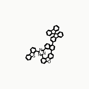 c1ccc(-c2nc(-c3cccc4c3sc3ccccc34)nc(-c3cccc4oc5ccc(-c6ccc(-c7ccc8c(c7)-c7ccccc7C87c8ccccc8-c8ccccc87)cc6)cc5c34)n2)cc1